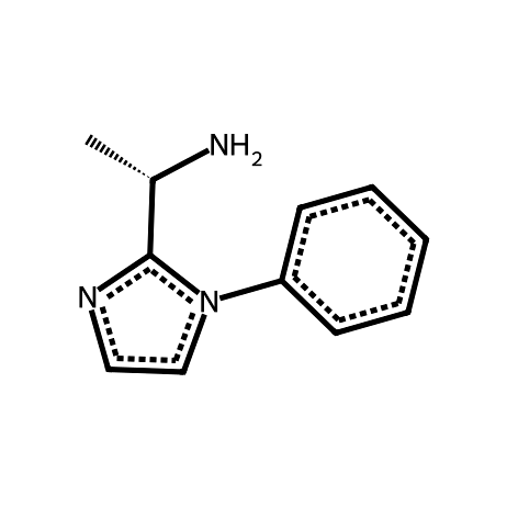 C[C@H](N)c1nccn1-c1ccccc1